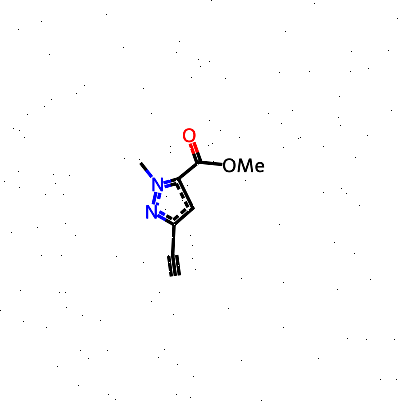 C#Cc1cc(C(=O)OC)n(C)n1